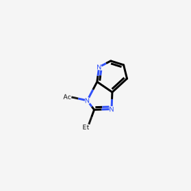 CCc1nc2cccnc2n1C(C)=O